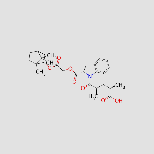 C[C@H](C[C@@H](C)C(=O)N1c2ccccc2C[C@H]1C(=O)OCC(=O)OC1CC2CCC1(C)C2(C)C)C(=O)O